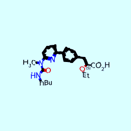 CCCCNC(=O)N(C)c1cccc(-c2ccc(C[C@H](OCC)C(=O)O)cc2)n1